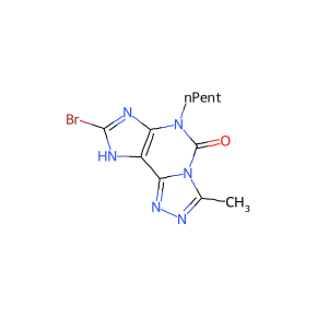 CCCCCn1c(=O)n2c(C)nnc2c2[nH]c(Br)nc21